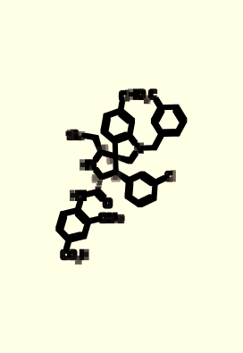 COc1cc(C(=O)O)ccc1NC(=O)[C@@H]1N[C@@H](CC(C)(C)C)[C@@]2(CN(Cc3cccc(C(=O)O)c3)c3cc(Cl)ccc32)[C@H]1c1cccc(Cl)c1